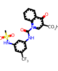 CS(=O)(=O)Nc1cc(NC(=O)n2cc(C(=O)O)c(=O)c3ccccc32)cc(C(F)(F)F)c1